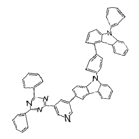 c1ccc(-c2nc(-c3ccccc3)nc(-c3cncc(-c4ccc5c(c4)c4ccccc4n5-c4ccc(-c5cccc6c5c5ccccc5n6-c5ccccc5)cc4)c3)n2)cc1